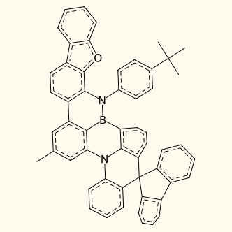 Cc1cc2c3c(c1)N1c4ccccc4C4(c5ccccc5-c5ccccc54)c4cccc(c41)B3N(c1ccc(C(C)(C)C)cc1)c1c-2ccc2c1oc1ccccc12